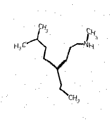 CCC(CCNC)CCC(C)C